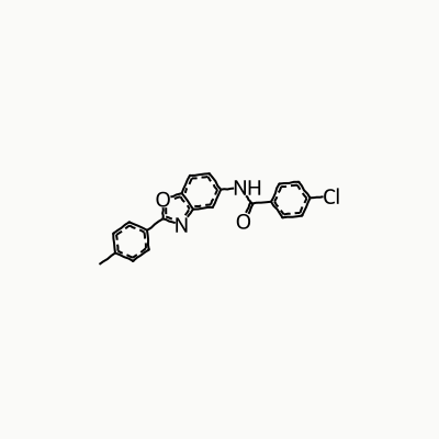 Cc1ccc(-c2nc3cc(NC(=O)c4ccc(Cl)cc4)ccc3o2)cc1